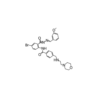 COc1cccc(C=NNC(=O)c2cc(Br)ccc2NC(=O)c2ccc(CNCCN3CCOCC3)cc2)c1